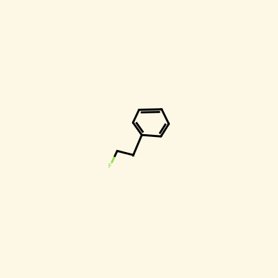 FC[C]c1ccccc1